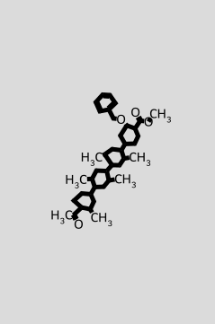 COC(=O)C1CCC(C2CC(C)C(C3CC(C)C(C4CCC(C(C)=O)C(C)C4)CC3C)CC2C)CC1OCc1ccccc1